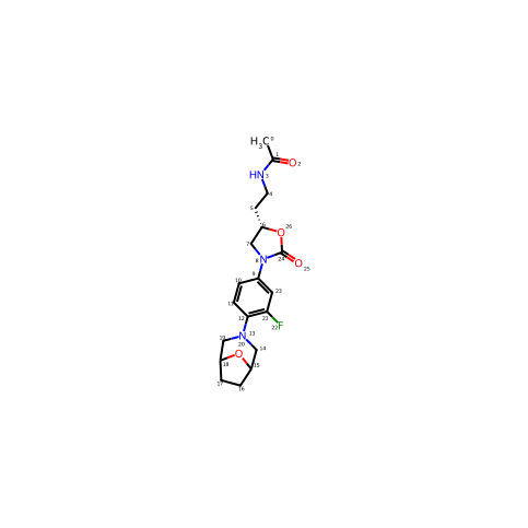 CC(=O)NCC[C@H]1CN(c2ccc(N3CC4CCC(C3)O4)c(F)c2)C(=O)O1